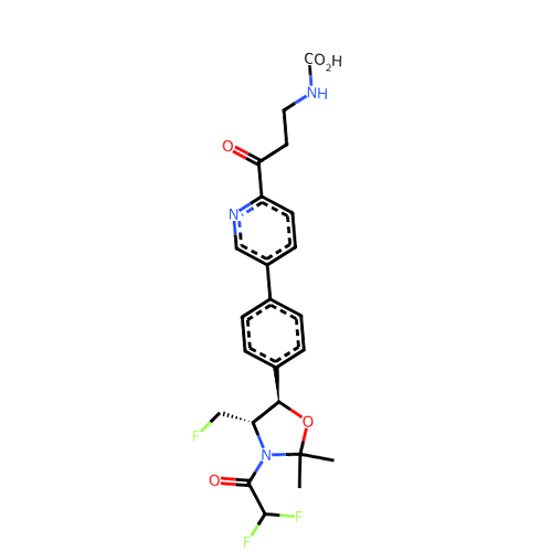 CC1(C)O[C@H](c2ccc(-c3ccc(C(=O)CCNC(=O)O)nc3)cc2)[C@@H](CF)N1C(=O)C(F)F